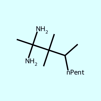 CCCCCC(C)C(C)(C)C(C)(N)N